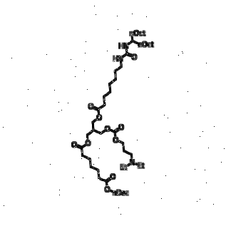 CCCCCCCCCCOC(=O)CCCCCC(=O)OCC(COC(=O)CCCCCCCNC(=O)NC(CCCCCCCC)CCCCCCCC)COC(=O)OCCCN(CC)CC